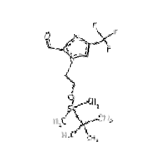 CC(C)(C)[Si](C)(C)OCCn1cc(C(F)(F)F)nc1C=O